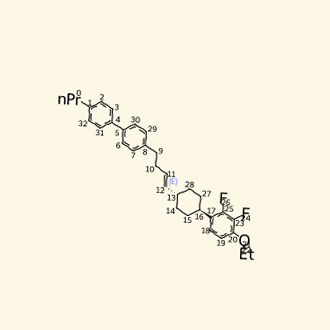 CCCc1ccc(-c2ccc(CC/C=C/[C@H]3CC[C@H](c4ccc(OCC)c(F)c4F)CC3)cc2)cc1